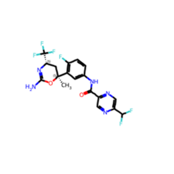 C[C@@]1(c2cc(NC(=O)c3cnc(C(F)F)cn3)ccc2F)C[C@@H](C(F)(F)F)N=C(N)O1